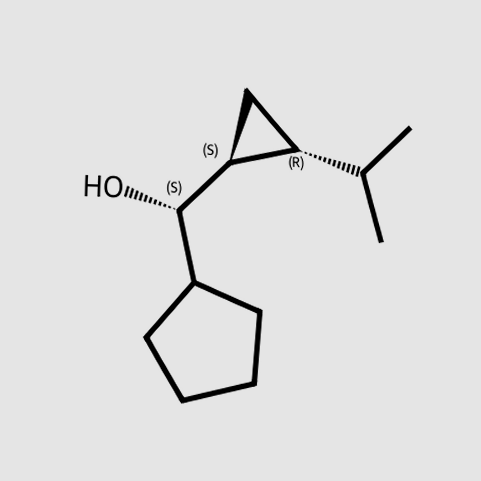 CC(C)[C@H]1C[C@@H]1[C@@H](O)C1CCCC1